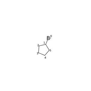 [B]C1CCCC1